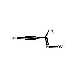 CO/N=C(\C)C#CC(C)C